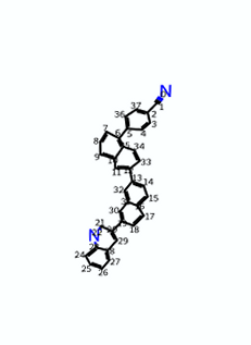 N#Cc1ccc(-c2cccc3cc(-c4ccc5ccc(-c6cnc7ccccc7c6)cc5c4)ccc23)cc1